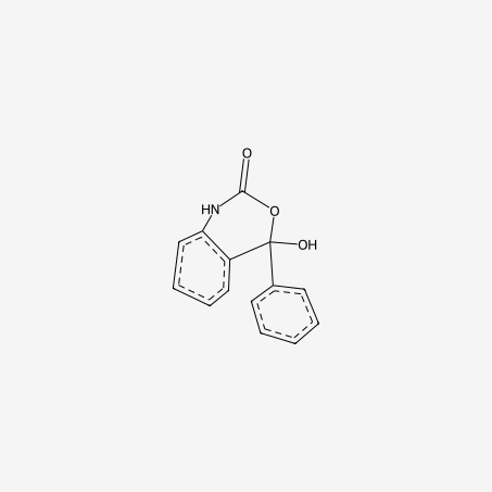 O=C1Nc2ccccc2C(O)(c2ccccc2)O1